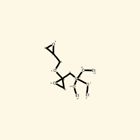 CCO[Si](CC1(OCC2CO2)CO1)(OCC)OCC